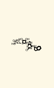 O=P(O)(O)COC[C@H]1C[C@@H](n2cnc3c(N[C@H]4CCc5ccccc54)nc(Cl)nc32)[C@H](O)[C@H]1O